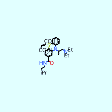 CCN(CC)CC(C)N1c2ccccc2Sc2ccc(C(=O)NCCC(C)C)cc21.O=C(O)C=CC(=O)O